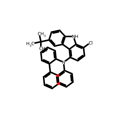 CC(C)(C)c1ccc2[nH]c3c(Cl)ccc(N(c4ccccc4)c4ccccc4-c4ccccc4)c3c2c1